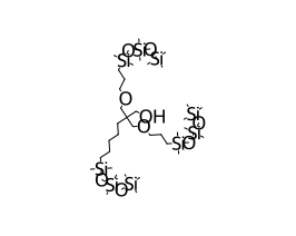 C[Si](C)(C)O[Si](C)(C)O[Si](C)(C)CCCCCC(CO)(COCCC[Si](C)(C)O[Si](C)(C)O[Si](C)(C)C)COCCC[Si](C)(C)O[Si](C)(C)O[Si](C)(C)C